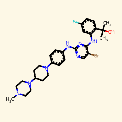 CN1CCN(C2CCN(c3ccc(Nc4ncc(Br)c(Nc5cc(F)ccc5C(C)(C)O)n4)cc3)CC2)CC1